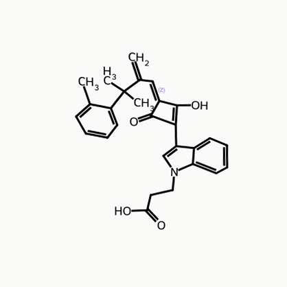 C=C(/C=C1\C(=O)C(c2cn(CCC(=O)O)c3ccccc23)=C1O)C(C)(C)c1ccccc1C